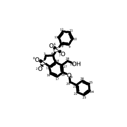 O=S1(=O)CC(S(=O)(=O)c2ccccc2)c2c1ccc(OCc1ccccc1)c2CO